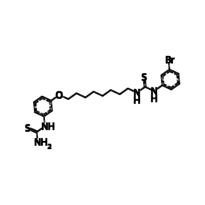 NC(=S)Nc1cccc(OCCCCCCCCNC(=S)Nc2cccc(Br)c2)c1